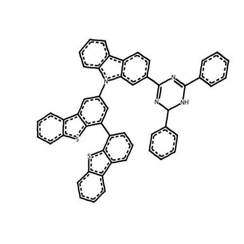 c1ccc(C2=NC(c3ccc4c5ccccc5n(-c5cc(-c6cccc7c6sc6ccccc67)c6sc7ccccc7c6c5)c4c3)=NC(c3ccccc3)N2)cc1